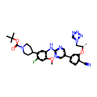 COc1cc(F)c(C2CCN(C(=O)OC(C)(C)C)CC2)cc1Nc1ncc(-c2ccc(C#N)c(O[C@@H](C)Cn3cnnn3)c2)cn1